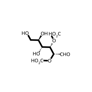 O=C[C@H](OC(=O)O)[C@@H](OC(=O)O)[C@H](O)[C@H](O)CO